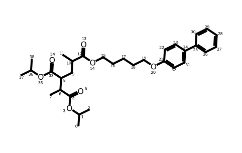 CC(C)OC(=O)C(C)C(CC(C)C(=O)OCCCCCOc1ccc(-c2ccccc2)cc1)C(=O)OC(C)C